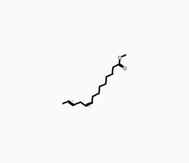 C/C=C/C/C=C\CCCCCCCC(=O)OC